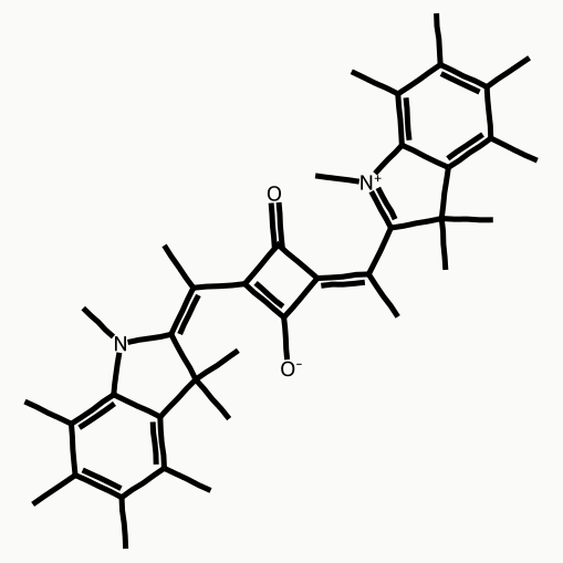 C/C(C1=[N+](C)c2c(C)c(C)c(C)c(C)c2C1(C)C)=C1/C(=O)C(C(/C)=C2/N(C)c3c(C)c(C)c(C)c(C)c3C2(C)C)=C1[O-]